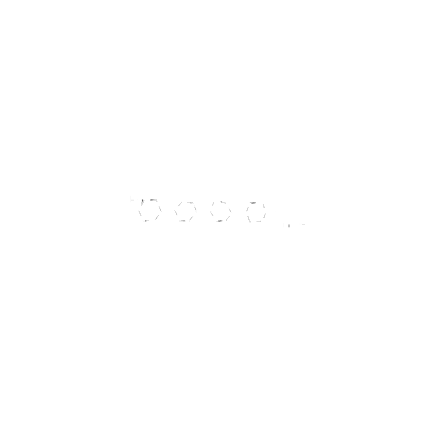 CCCCCCCOc1ccc(-c2ccc(-c3ccc(-c4ccc(OCCCCCC)cc4)c(F)c3F)cc2)cc1